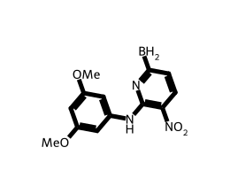 Bc1ccc([N+](=O)[O-])c(Nc2cc(OC)cc(OC)c2)n1